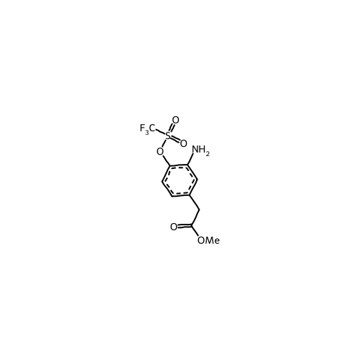 COC(=O)Cc1ccc(OS(=O)(=O)C(F)(F)F)c(N)c1